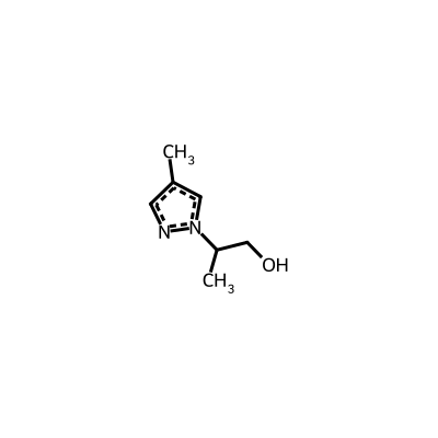 Cc1cnn(C(C)CO)c1